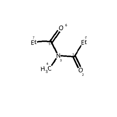 CCC(=O)N(C)C(=O)CC